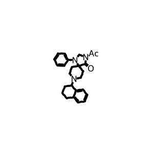 CC(=O)N1CN(c2ccccc2)C2(CCN(C3CCCc4ccccc43)CC2)C1=O